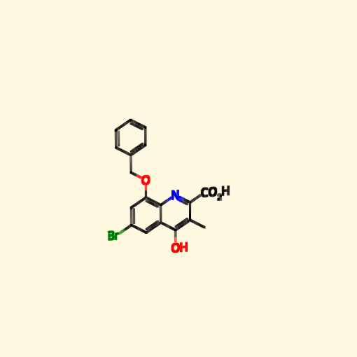 Cc1c(C(=O)O)nc2c(OCc3ccccc3)cc(Br)cc2c1O